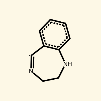 [C]1=NCCNc2ccccc21